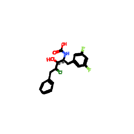 O=C(O)N[C@@H](Cc1cc(F)cc(F)c1)[C@H](O)C(Cl)Cc1ccccc1